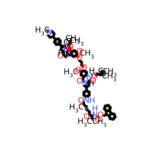 COc1cc2c(cc1OCCCOc1cc3c(cc1OC)C(=O)N1C=C(c4ccc(NC(=O)C(C)/C=C/CC(=O)[C@@H](NC(=O)OCC5c6ccccc6-c6ccccc65)C(C)C)cc4)C[C@H]1C(=O)N3COCC[Si](C)(C)C)/C(COCC[Si](C)(C)C)=C/C(=O)[C@@H]1CC(c3ccc(C4CCN(C)CC4)cc3)=CN1C2=O